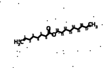 C=CCCCCCC(=O)OCCCCCCCCC